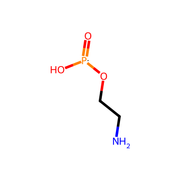 NCCO[P](=O)O